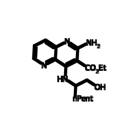 CCCCCC(CO)Nc1c(C(=O)OCC)c(N)nc2cccnc12